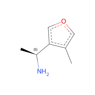 Cc1cocc1[C@H](C)N